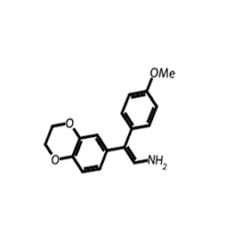 COc1ccc(C(=CN)c2ccc3c(c2)OCCO3)cc1